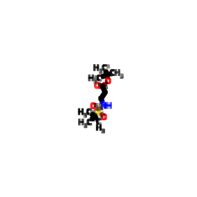 CC(C)(C)OC(=O)CCNS(=O)(=O)C(C)(C)C